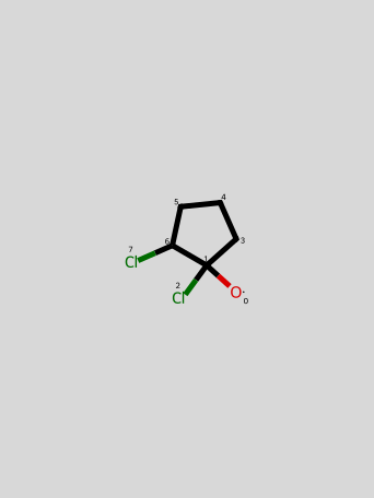 [O]C1(Cl)CCCC1Cl